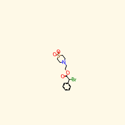 O=C(OCCN1CCS(=O)(=O)CC1)C(Br)c1ccccc1